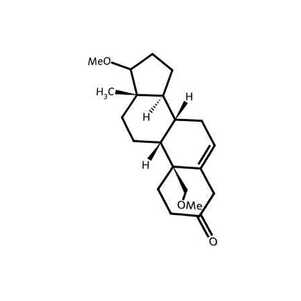 COC[C@]12CCC(=O)CC1=CC[C@@H]1[C@H]2CC[C@]2(C)C(OC)CC[C@@H]12